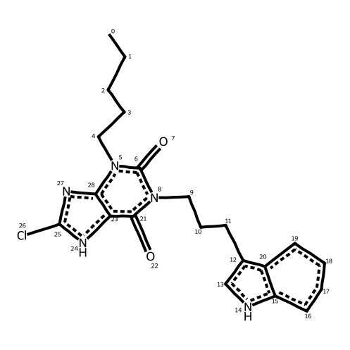 CCCCCn1c(=O)n(CCCc2c[nH]c3ccccc23)c(=O)c2[nH]c(Cl)nc21